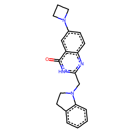 O=c1[nH]c(CN2CCc3ccccc32)nc2ccc(N3CCC3)cc12